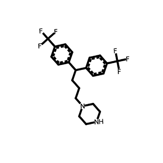 FC(F)(F)c1ccc(C(CCCN2CCNCC2)c2ccc(C(F)(F)F)cc2)cc1